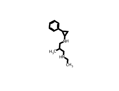 CCNCC(C)CNC1CC1c1ccccc1